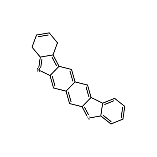 C1=CCC2=c3cc4cc5c(cc4cc3N=C2C1)=Nc1ccccc1-5